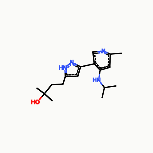 Cc1cc(NC(C)C)c(-c2cc(CCC(C)(C)O)[nH]n2)cn1